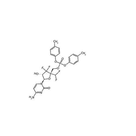 Cc1ccc(OP(=O)(OC[C@@]2(C(F)F)O[C@@H](n3ccc(N)nc3=O)[C@H](O)C2(F)F)Oc2ccc(C)cc2)cc1